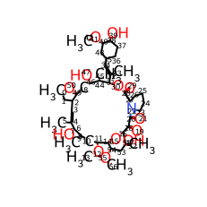 CCC1C=C(C)C(O)C(C)CC(OC)C2OC(O)(C(=O)C(=O)N3CCCCC3C(=O)OC(C(C)=CC3CCC(O)C(OC)C3)C(C)C(O)CC1=O)C(C)CC2OC